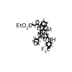 CCOC(=O)/C=C/C(=O)Nc1ccccc1-c1c(CC)n(CC(=O)Nc2ccc(C(F)(F)F)cc2)c2nc(C3=CCOCC3)nn2c1=O